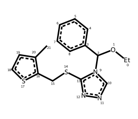 CCOC(c1ccccc1)n1cnnc1SCc1sccc1C